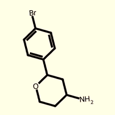 NC1CCOC(c2ccc(Br)cc2)C1